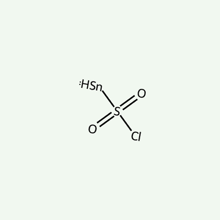 O=[S](=O)(Cl)[SnH]